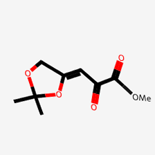 COC(=O)C(=O)C=C1COC(C)(C)O1